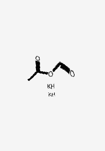 CC(=O)OC=O.[KH].[KH]